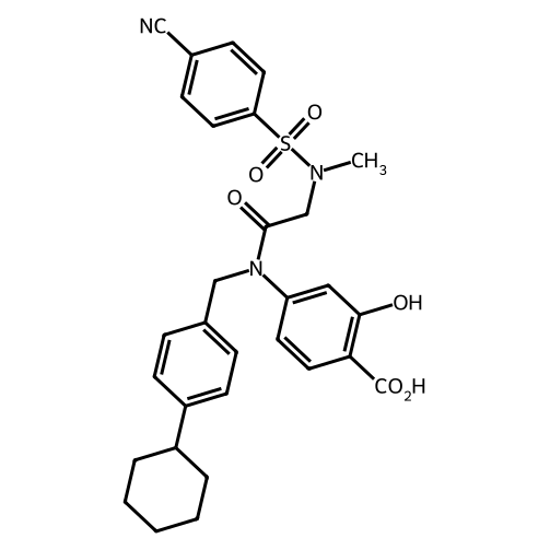 CN(CC(=O)N(Cc1ccc(C2CCCCC2)cc1)c1ccc(C(=O)O)c(O)c1)S(=O)(=O)c1ccc(C#N)cc1